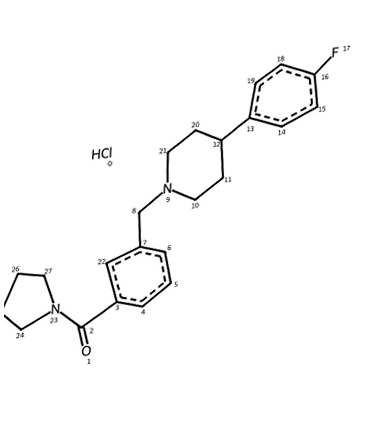 Cl.O=C(c1cccc(CN2CCC(c3ccc(F)cc3)CC2)c1)N1CCCC1